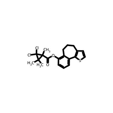 CC1(C)C(Cl)(Cl)C1(C)C(=O)Oc1cccc2c1CCCc1ccsc1-2